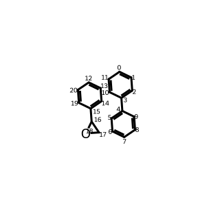 c1ccc(-c2ccccc2)cc1.c1ccc(C2CO2)cc1